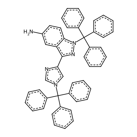 Nc1ccc2c(c1)c(-c1cn(C(c3ccccc3)(c3ccccc3)c3ccccc3)cn1)nn2C(c1ccccc1)(c1ccccc1)c1ccccc1